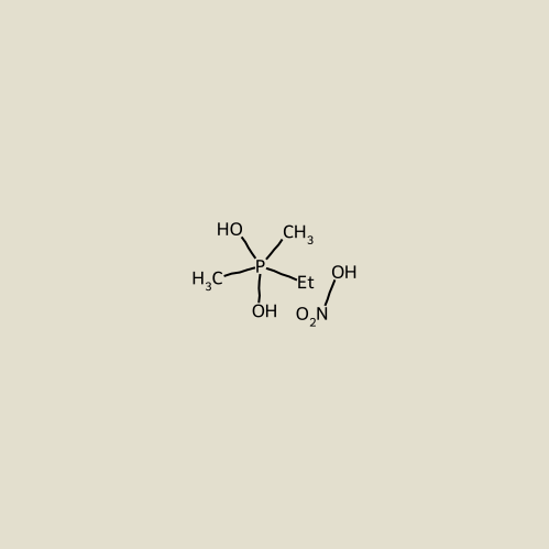 CCP(C)(C)(O)O.O=[N+]([O-])O